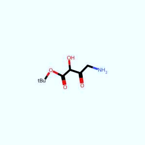 CC(C)(C)OC(=O)C(O)C(=O)CN